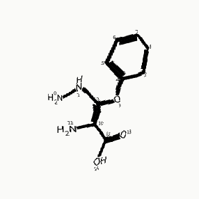 NN/C(Oc1ccccc1)=C(\N)C(=O)O